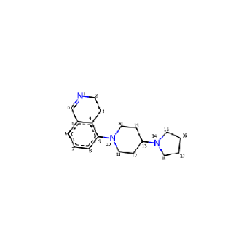 C1=NCCc2c1cccc2N1CCC(N2CCCC2)CC1